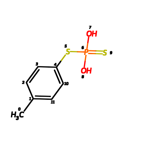 Cc1ccc(SP(O)(O)=S)cc1